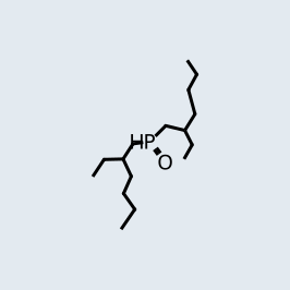 CCCCC(CC)C[PH](=O)CC(CC)CCCC